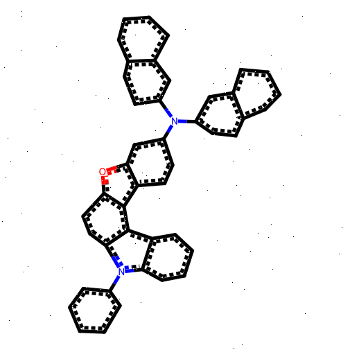 c1ccc(-n2c3ccccc3c3c4c(ccc32)oc2cc(N(c3ccc5ccccc5c3)c3ccc5ccccc5c3)ccc24)cc1